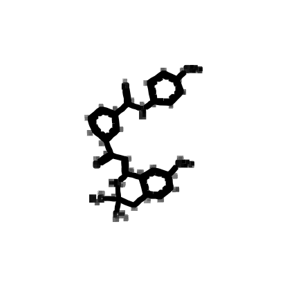 COc1ccc(NC(=O)c2cccc(C(=O)C=C3NC(C)(C)Cc4ccc(OC)cc43)c2)cc1